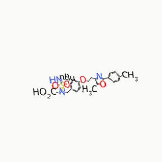 CCCCNS(=O)(=O)N(CC(=O)O)Cc1ccc(OCCc2nc(-c3ccc(C)cc3)oc2C)cc1